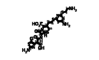 NCCSc1nc(N)cc(SC=CC2=C(C(=O)O)N3C(=O)[C@@H](NC(=O)C(=NO)c4nc(N)sc4Cl)[C@H]3SC2)n1